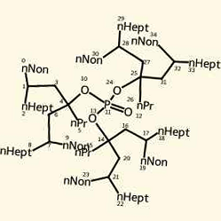 CCCCCCCCCC(CCCCCCC)CC(CCC)(CC(CCCCCCC)CCCCCCCCC)OP(=O)(OC(CCC)(CC(CCCCCCC)CCCCCCCCC)CC(CCCCCCC)CCCCCCCCC)OC(CCC)(CC(CCCCCCC)CCCCCCCCC)CC(CCCCCCC)CCCCCCCCC